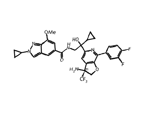 COc1cc(C(=O)NCC(O)(c2cc3c(c(-c4ccc(F)c(F)c4)n2)OC[C@@]3(N)C(F)(F)F)C2CC2)cc2cn(C3CC3)nc12